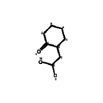 O=C1CCCCC1CC(Cl)Cl